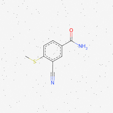 CSc1ccc(C(N)=O)cc1C#N